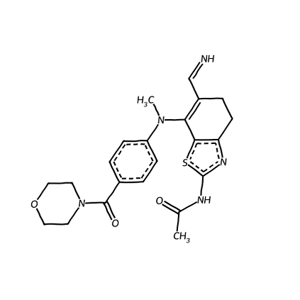 CC(=O)Nc1nc2c(s1)C(N(C)c1ccc(C(=O)N3CCOCC3)cc1)=C(C=N)CC2